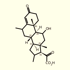 CC1C[C@H]2[C@@H]3CC(C)[C@H](C(=O)C(=O)O)[C@@]3(C)CC(O)[C@@H]2[C@@]2(C)CCC(=O)C=C12